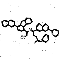 CC/C=C(/N=C(\CC/C(C)=C\c1ccccc1)c1ccc2ccc(-c3ccccc3)cc2c1)c1ccc(-c2ccc3ccccc3c2)c2c1-c1ccccc1C2